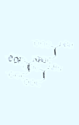 CCCCC(=CC(=O)[O-])C(=O)[O-].CCCCC(=CC(=O)[O-])C(=O)[O-].CCCCC(=CC(=O)[O-])C(=O)[O-].[Bi+3].[Bi+3]